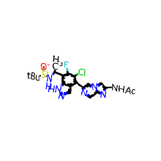 CC(=O)Nc1cn2cc(-c3c(Cl)c(F)c(C(C)N[S@+]([O-])C(C)(C)C)c4[nH]ncc34)ncc2n1